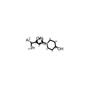 CC(=O)C(c1cc(N2CCC(O)CC2)no1)C(C)C